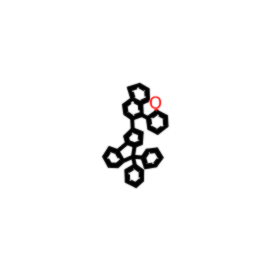 c1ccc(C2(c3ccccc3)c3ccccc3-c3cc(-c4ccc5cccc6c5c4-c4ccccc4O6)ccc32)cc1